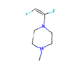 CN1CCN(/C(F)=C\F)CC1